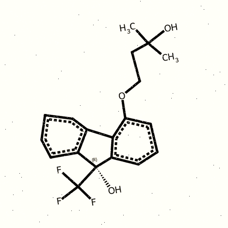 CC(C)(O)CCOc1cccc2c1-c1ccccc1[C@]2(O)C(F)(F)F